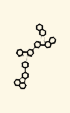 c1ccc2cc(-n3c4ccc(-c5ccc6c(c5)c5ccccc5n6-c5ccc(-c6ccc7c(c6)-c6cccc8cccc-7c68)cc5)cc4c4ccc5ccccc5c43)ccc2c1